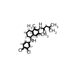 C=C(C)CC(=O)Nc1c(C)cc2c(c1C)CCCC2Nc1ccc(Cl)c(Cl)c1